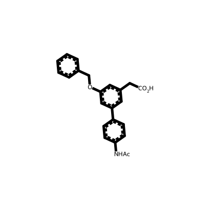 CC(=O)Nc1ccc(-c2cc(CC(=O)O)cc(OCc3ccccc3)c2)cc1